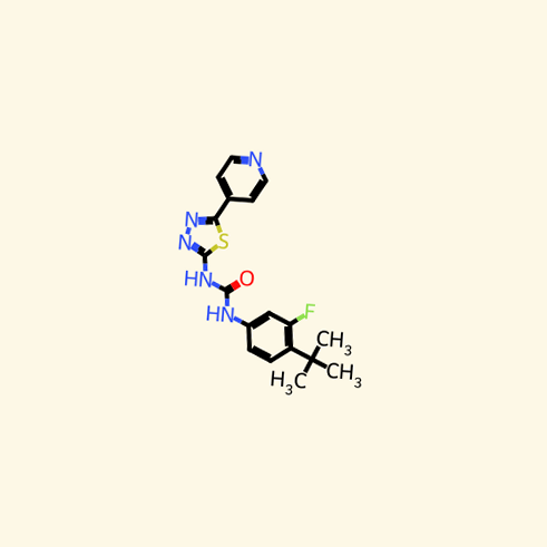 CC(C)(C)c1ccc(NC(=O)Nc2nnc(-c3ccncc3)s2)cc1F